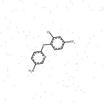 Nc1ccc(Oc2ccc(C(F)(F)F)cc2Cl)nc1